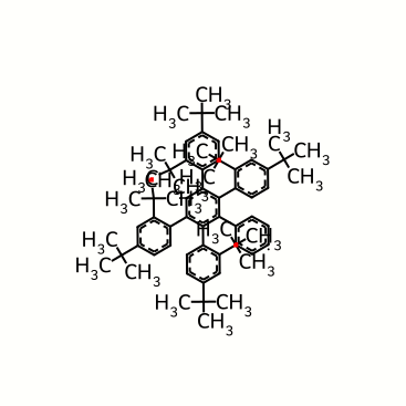 CC(C)(C)c1ccc(-c2[c]c(-c3ccc(C(C)(C)C)cc3C(C)(C)C)c(-c3ccc(C(C)(C)C)cc3C(C)(C)C)c(-c3cc[c]cc3)c2-c2ccc(C(C)(C)C)cc2C(C)(C)C)c(C(C)(C)C)c1